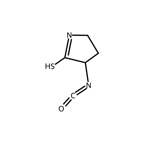 O=C=NC1CCN=C1S